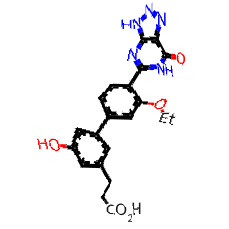 CCOc1cc(-c2cc(O)cc(CCC(=O)O)c2)ccc1-c1nc2[nH]nnc2c(=O)[nH]1